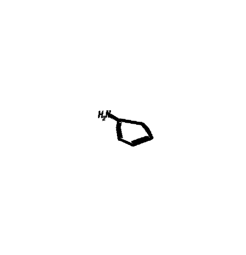 NC1=CC=CC1